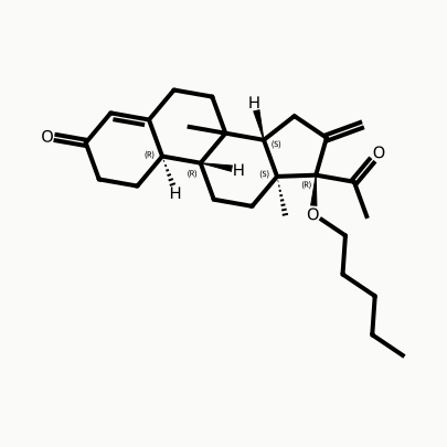 C=C1C[C@H]2C3(C)CCC4=CC(=O)CC[C@@H]4[C@H]3CC[C@]2(C)[C@@]1(OCCCCC)C(C)=O